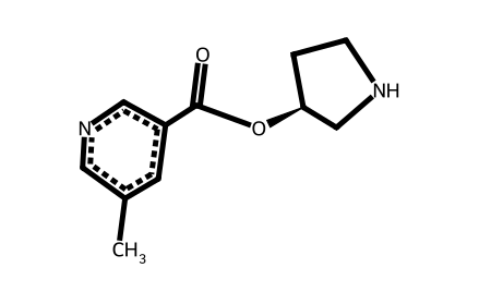 Cc1cncc(C(=O)O[C@H]2CCNC2)c1